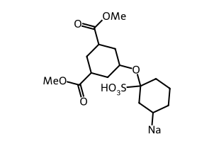 COC(=O)C1CC(OC2(S(=O)(=O)O)CCC[CH]([Na])C2)CC(C(=O)OC)C1